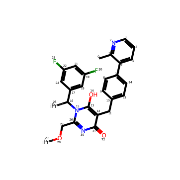 Cc1ncccc1-c1ccc(Cc2c(O)n(C(c3cc(F)cc(F)c3)C(C)C)c(COC(C)C)nc2=O)cc1